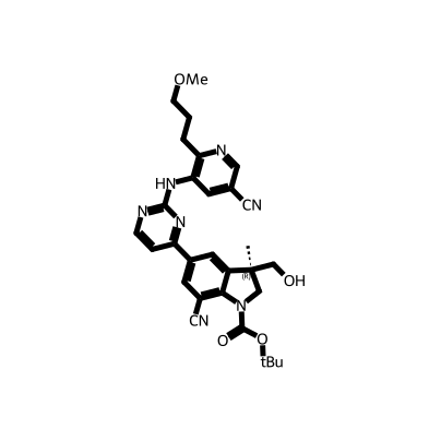 COCCCc1ncc(C#N)cc1Nc1nccc(-c2cc(C#N)c3c(c2)[C@@](C)(CO)CN3C(=O)OC(C)(C)C)n1